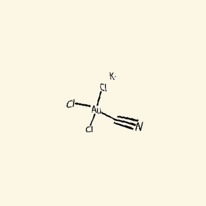 N#[C][Au]([Cl])([Cl])[Cl].[K]